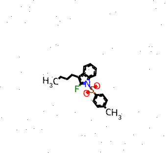 CCCCc1c(F)n(S(=O)(=O)c2ccc(C)cc2)c2ccccc12